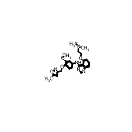 COc1cc(Nc2ncnc3cccc(OCCN(C)C)c23)ccc1OCc1cc(C)on1